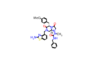 COc1ccc(C[C@H]2C(=O)N(Cc3cccc4sc(N)nc34)C[C@H]3N2C(=O)CN3N(C)C(=O)NCc2ccccc2)cc1